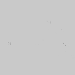 Cc1cc(=O)[nH]c2c1C(=O)C1=C(NC=CC1c1ccc(N(C)C)cc1)C2=O